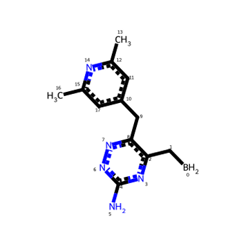 BCc1nc(N)nnc1Cc1cc(C)nc(C)c1